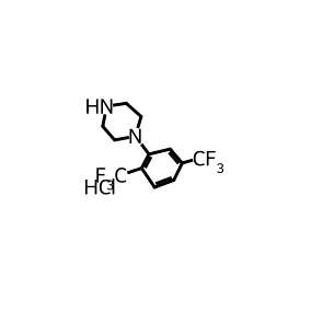 Cl.FC(F)(F)c1ccc(C(F)(F)F)c(N2CCNCC2)c1